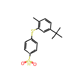 Cc1ccc(C(C)(C)C)cc1Sc1ccc([SH](=O)=O)cc1